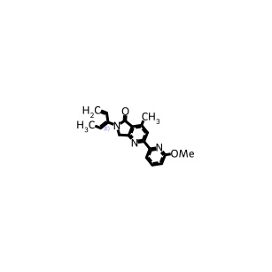 C=C/C(=C\C)N1Cc2nc(-c3cccc(OC)n3)cc(C)c2C1=O